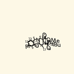 COC(=O)CCN(Cc1ccc(F)cc1)C(=O)[C@H](C)NC(=O)OC(C)(C)C